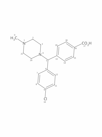 CN1CCN(C(c2ccc(Cl)cc2)c2ccc(C(=O)O)cc2)CC1